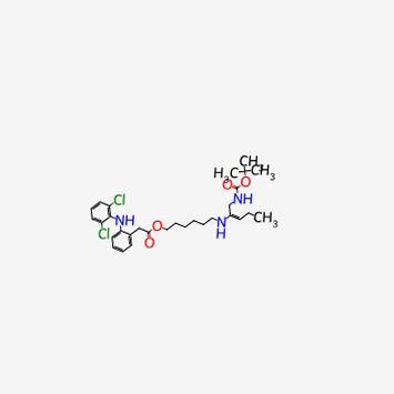 CCC=C(CNC(=O)OC(C)(C)C)NCCCCCCOC(=O)Cc1ccccc1Nc1c(Cl)cccc1Cl